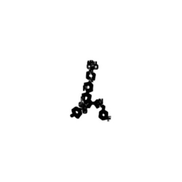 Cc1ccc(S(=O)(=O)n2cc(-c3cnn(Cc4cccc(F)c4)c3)c3cc(-c4ccc(N5CCN(C(=O)OC(C)(C)C)CC5)cn4)cnc32)cc1